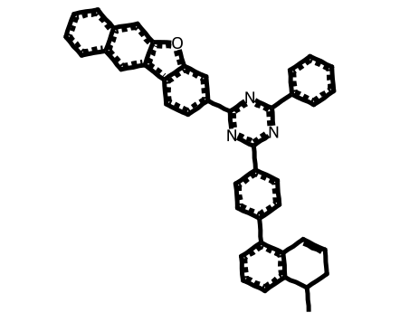 CC1CC=Cc2c(-c3ccc(-c4nc(-c5ccccc5)nc(-c5ccc6c(c5)oc5cc7ccccc7cc56)n4)cc3)cccc21